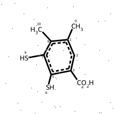 Cc1cc(C(=O)O)c(S)c(S)c1C